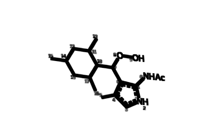 CC(=O)Nc1[nH]cc(C)c1C(OO)C1C(C)CC(C)CC1C